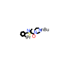 CCCCN1CCCN(C(=O)c2sc(-c3ccccc3C(C)C)nc2C)CC1